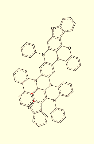 c1ccc(-c2ccccc2N2c3cc4c(cc3B3c5ccccc5N(c5ccccc5)c5c3c2cc2oc3ccccc3c52)B2c3ccccc3Oc3c2c(cc2oc5ccccc5c32)N4c2ccccc2)cc1